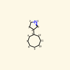 [C]1=NCCC1C1CCCCCCC1